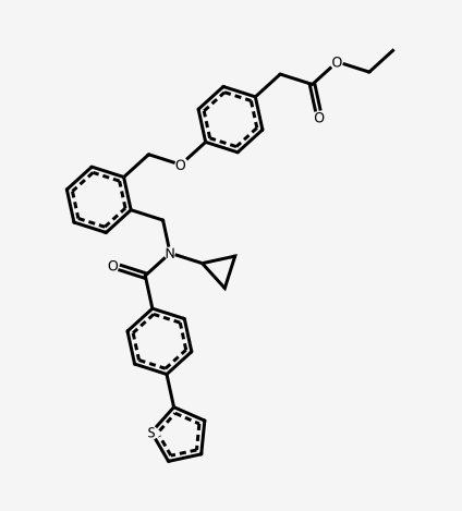 CCOC(=O)Cc1ccc(OCc2ccccc2CN(C(=O)c2ccc(-c3cccs3)cc2)C2CC2)cc1